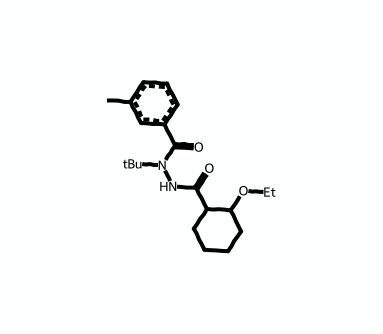 CCOC1CCCCC1C(=O)NN(C(=O)c1cccc(C)c1)C(C)(C)C